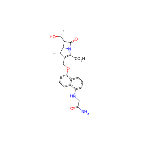 C[C@@H](O)C1C(=O)N2C(C(=O)O)=C(COc3cccc4c(NCC(N)=O)cccc34)[C@H](C)C12